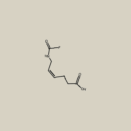 O=C(O)CC/C=C\CNC(=O)F